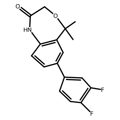 CC1(C)OCC(=O)Nc2ccc(-c3ccc(F)c(F)c3)cc21